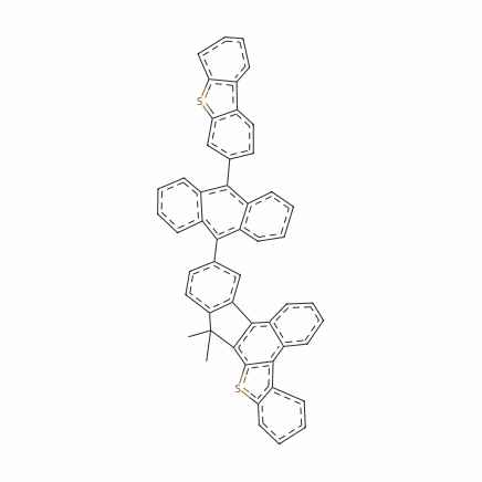 CC1(C)c2ccc(-c3c4ccccc4c(-c4ccc5c(c4)sc4ccccc45)c4ccccc34)cc2-c2c1c1sc3ccccc3c1c1ccccc21